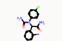 NC(=O)C(c1ccccc1I)N(C(N)=O)c1ccc(Cl)cc1